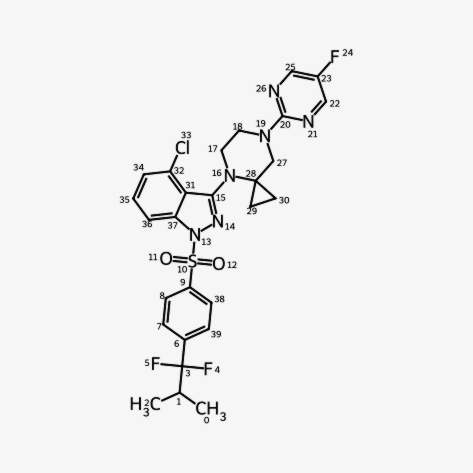 CC(C)C(F)(F)c1ccc(S(=O)(=O)n2nc(N3CCN(c4ncc(F)cn4)CC34CC4)c3c(Cl)cccc32)cc1